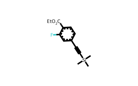 CCOC(=O)c1ccc(C#C[Si](C)(C)C)cc1F